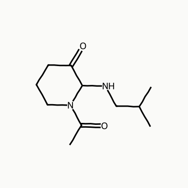 CC(=O)N1CCCC(=O)C1NCC(C)C